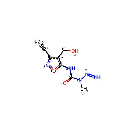 C#Cc1noc(NC(=O)N(C)N=N)c1CO